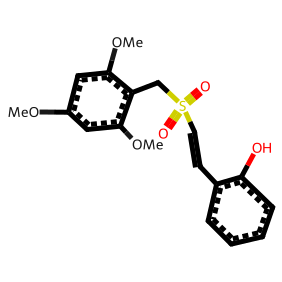 COc1cc(OC)c(CS(=O)(=O)C=Cc2ccccc2O)c(OC)c1